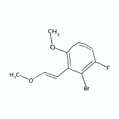 COC=Cc1c(OC)ccc(F)c1Br